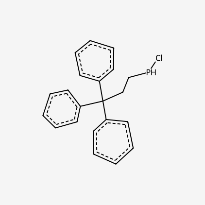 ClPCCC(c1ccccc1)(c1ccccc1)c1ccccc1